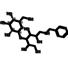 OCC(O)C(O[C@@H]1O[C@H](CO)[C@@H](O)[C@H](O)[C@H]1O)C(O)C(O)CNCc1ccccc1